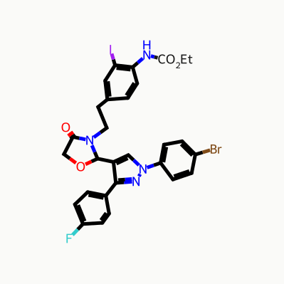 CCOC(=O)Nc1ccc(CCN2C(=O)COC2c2cn(-c3ccc(Br)cc3)nc2-c2ccc(F)cc2)cc1I